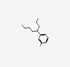 CCCCC(CCC)c1cccc(O)c1